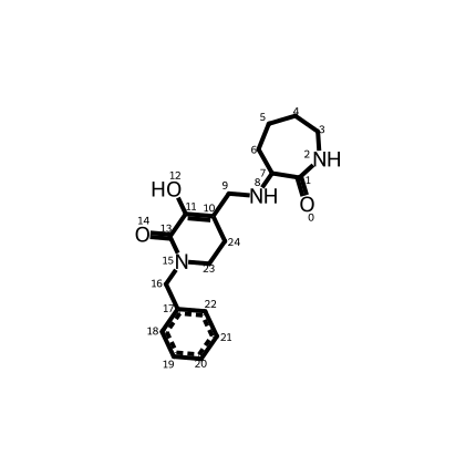 O=C1NCCCCC1NCC1=C(O)C(=O)N(Cc2ccccc2)CC1